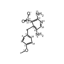 COc1ccc(Cc2c(N)cnc(N)c2[N+](=O)[O-])cc1